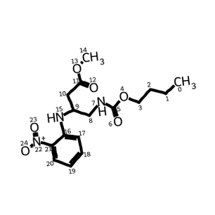 CCCCOC(=O)NCC(CC(=O)OC)Nc1ccccc1[N+](=O)[O-]